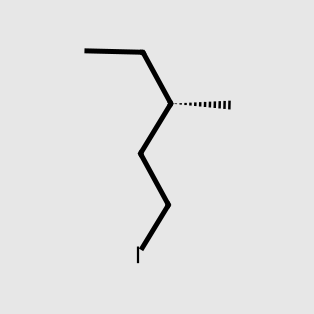 CC[C@H](C)CCI